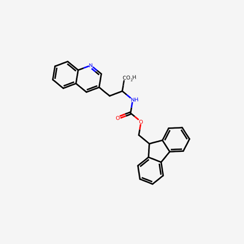 O=C(NC(Cc1cnc2ccccc2c1)C(=O)O)OCC1c2ccccc2-c2ccccc21